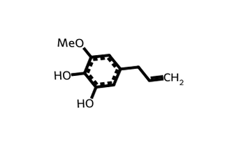 C=CCc1cc(O)c(O)c(OC)c1